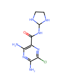 Nc1nc(N)c(C(=O)NC2NCCN2)nc1Cl